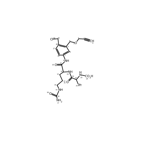 C#CCOCc1cc(NC(=O)C(CCCNC(N)=O)NC(=O)C(NC(=O)O)C(C)C)ccc1CCl